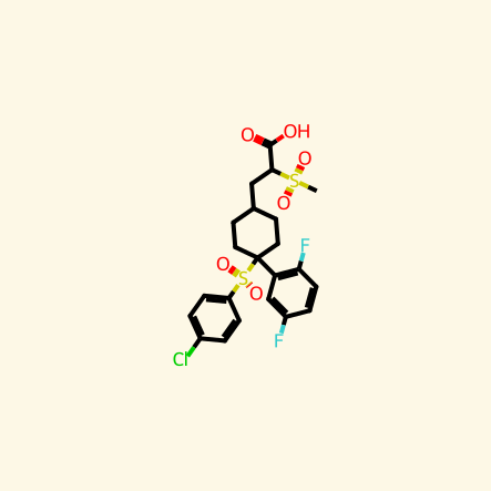 CS(=O)(=O)C(CC1CCC(c2cc(F)ccc2F)(S(=O)(=O)c2ccc(Cl)cc2)CC1)C(=O)O